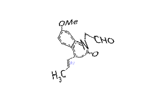 C/C=C/c1cc(=O)n(CC=O)c2cc(OC)ccc12